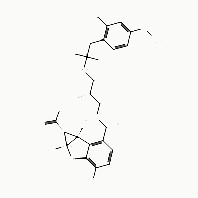 COc1ccc(CC(C)(C)NC[C@@H](O)CO[C@H](C)c2ccc(C)c3c2[C@@H]2[C@H](O3)[C@H]2C(=O)O)c(Cl)c1